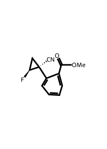 COC(=O)c1ccccc1[C@]1(C#N)C[C@@H]1F